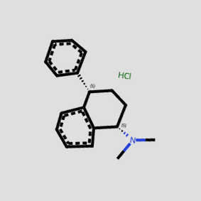 CN(C)[C@H]1CC[C@@H](c2ccccc2)c2ccccc21.Cl